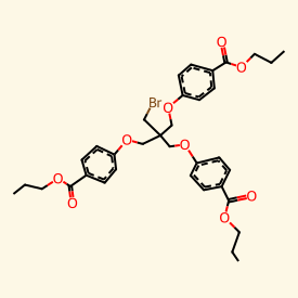 CCCOC(=O)c1ccc(OCC(CBr)(COc2ccc(C(=O)OCCC)cc2)COc2ccc(C(=O)OCCC)cc2)cc1